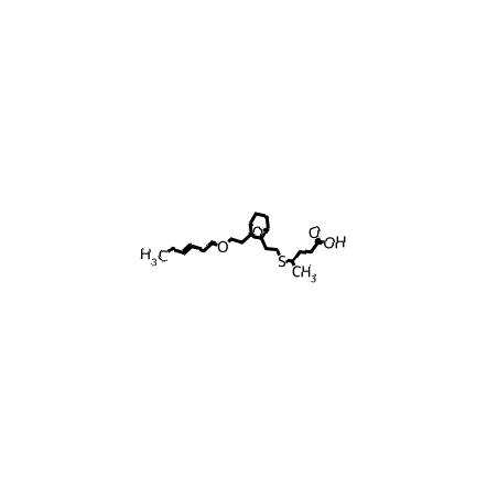 CCC=CCCOCCC1C2CCC(O2)C1CCSC(C)CCC(=O)O